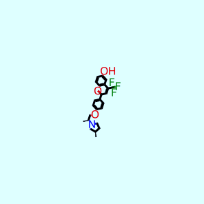 C[C@@H]1CCN([C@@H](C)COc2ccc(C3C=C(C(F)(F)F)c4cc(O)ccc4O3)cc2)C1